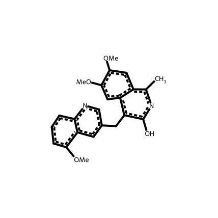 COc1cc2c(C)nc(O)c(Cc3cnc4cccc(OC)c4c3)c2cc1OC